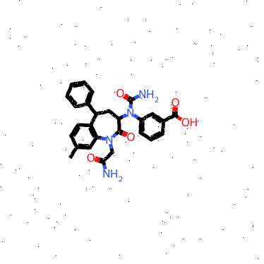 Cc1ccc2c(c1)N(CC(N)=O)C(=O)C(N(C(N)=O)c1cccc(C(=O)O)c1)CC2c1ccccc1